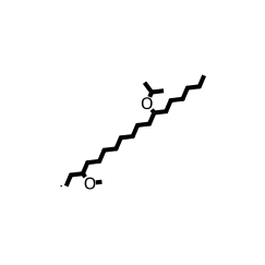 [CH2]CC(CCCCCCCCC(CCCCCC)OC(C)C)OC